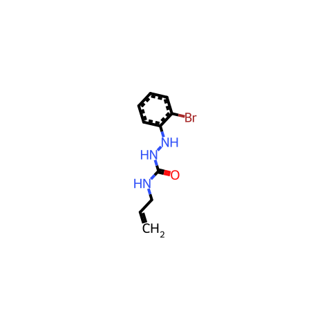 C=CCNC(=O)NNc1ccccc1Br